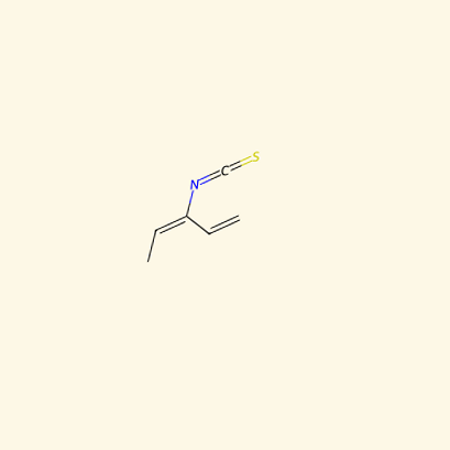 C=C/C(=C\C)N=C=S